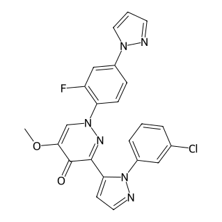 COc1cn(-c2ccc(-n3cccn3)cc2F)nc(-c2ccnn2-c2cccc(Cl)c2)c1=O